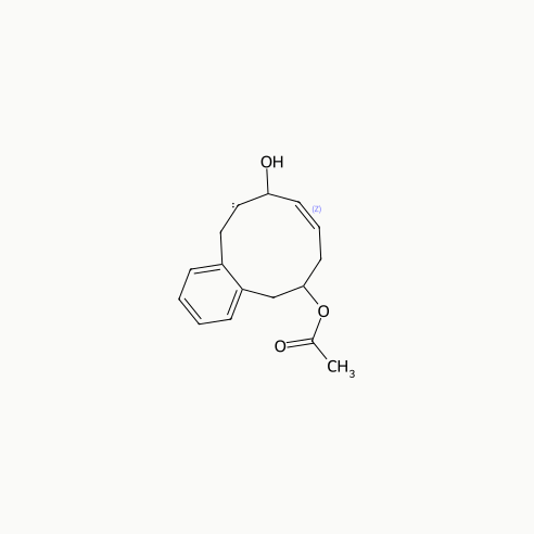 CC(=O)OC1C/C=C\C(O)[C]Cc2ccccc2C1